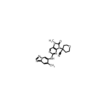 Cc1cc2ncnn2cc1Nc1ncc2c(n1)n(C1(C#N)CCOCC1)c(=O)n2C